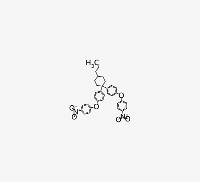 CCCC1CCC(c2ccc(Oc3ccc([N+](=O)[O-])cc3)cc2)(c2ccc(Oc3ccc([N+](=O)[O-])cc3)cc2)CC1